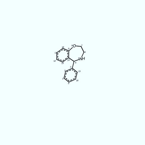 c1ccc(C2NCCOc3ccccc32)cc1